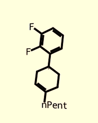 CCCCCC1=CC[C](c2cccc(F)c2F)CC1